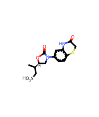 [CH2]C(CS(=O)(=O)O)[C@@H]1CN(c2ccc3c(c2)NC(=O)CS3)C(=O)O1